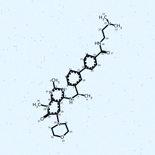 Cc1nc(N[C@H](C)c2cccc(-c3ccc(C(=O)NCCN(C)C)cc3)c2)c2cc(N3CCOCC3)c(=O)n(C)c2n1